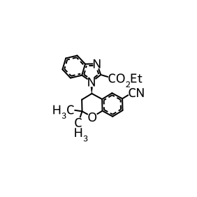 CCOC(=O)c1nc2ccccc2n1[C@@H]1CC(C)(C)Oc2ccc(C#N)cc21